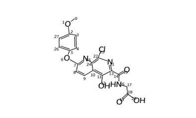 COc1ccc(Oc2ccc3c(O)c(C(=O)NCC(=O)O)nc(Cl)c3n2)cc1